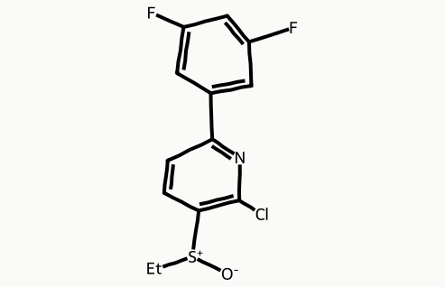 CC[S+]([O-])c1ccc(-c2cc(F)cc(F)c2)nc1Cl